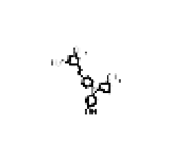 Cc1cc(C)cc(/C=C/c2ccc(N(c3ccc(O)cc3)c3cccc(C)c3)cc2)c1